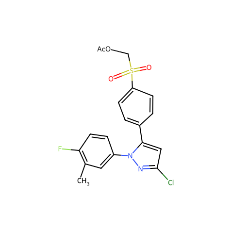 CC(=O)OCS(=O)(=O)c1ccc(-c2cc(Cl)nn2-c2ccc(F)c(C)c2)cc1